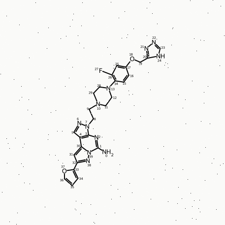 Nc1nc2c(cnn2CCN2CCN(c3ccc(OCc4nnc[nH]4)cc3F)CC2)c2cc(-c3ccco3)nn12